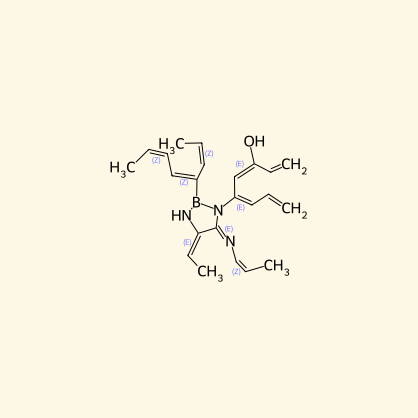 C=C/C=C(\C=C(\O)C=C)N1B(C(/C=C\C)=C/C=C\C)NC(=C/C)/C1=N\C=C/C